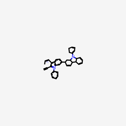 C#Cc1c(/C=C\C)c2ccc(C3C=CC4C5C=CC=CC5N(C5=CC=CCC5)C4C3)cc2n1-c1ccccc1